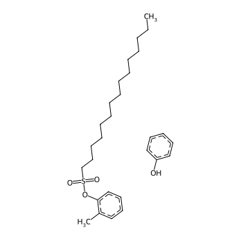 CCCCCCCCCCCCCCCS(=O)(=O)Oc1ccccc1C.Oc1ccccc1